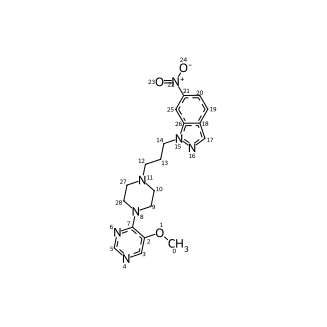 COc1cncnc1N1CCN(CCCn2ncc3ccc([N+](=O)[O-])cc32)CC1